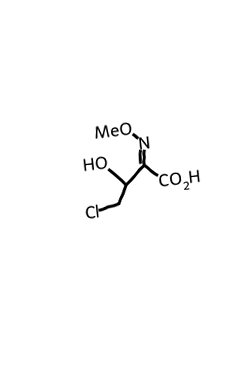 CON=C(C(=O)O)C(O)CCl